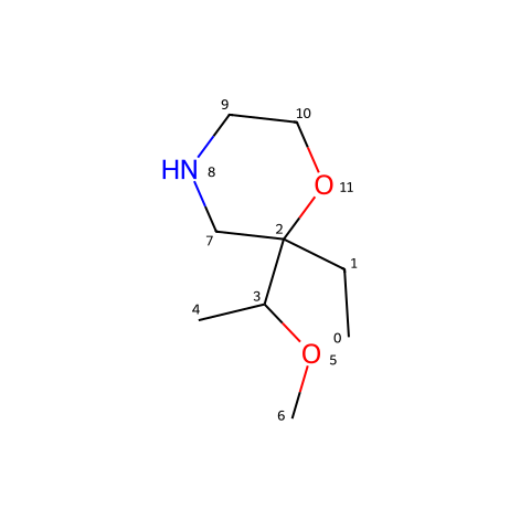 CCC1(C(C)OC)CNCCO1